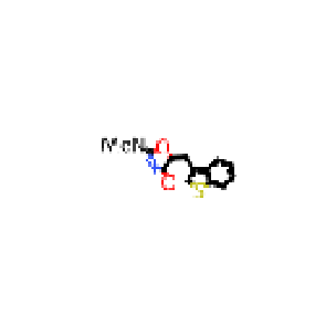 CNC1=NC(=O)C(Cc2csc3ccccc23)O1